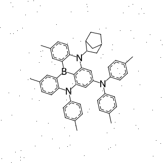 Cc1ccc(N(c2ccc(C)cc2)c2cc3c4c(c2)N(C2CC5CCC2C5)c2ccc(C)cc2B4c2cc(C)ccc2N3c2ccc(C)cc2)cc1